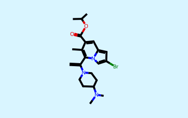 C=C(c1c(C)c(C(=O)OC(C)C)cc2cc(Br)cn12)N1CCC(N(C)C)CC1